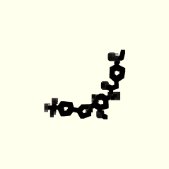 CC[S+]([O-])c1ccc(CC(=O)Nc2cnc(N3CCC(c4ccc(C(F)(F)F)cc4)C3)c(OC)c2)cc1